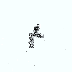 CC(=O)c1ccc(N2CCC(C(=O)N3C[C@H]([C@H](C)Oc4ccc(Cl)cn4)[C@@H](c4ccc(Cl)cc4)C3)CC2)cc1